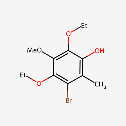 CCOc1c(O)c(C)c(Br)c(OCC)c1OC